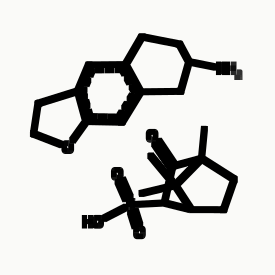 CC12CCC(C(S(=O)(=O)O)C1=O)C2(C)C.NC1CCc2cc3c(cc2C1)OCC3